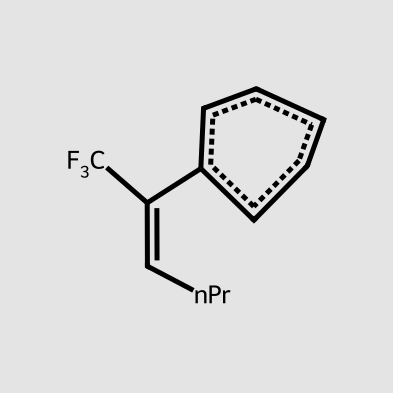 CCC/C=C(\c1ccccc1)C(F)(F)F